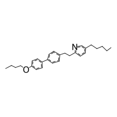 CCCCCc1ccc(CCc2ccc(-c3ccc(OCCCC)cc3)cc2)nc1